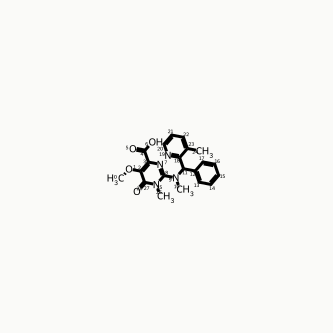 COc1c(C(=O)O)nc(N(C)C(c2ccccc2)c2ncccc2C)n(C)c1=O